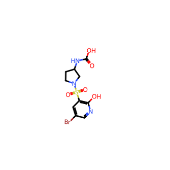 O=C(O)NC1CCN(S(=O)(=O)c2cc(Br)cnc2O)C1